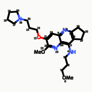 COCCCNc1c2c(nc3cc(OCCCN4CCCC4)c(OC)nc13)CCC2